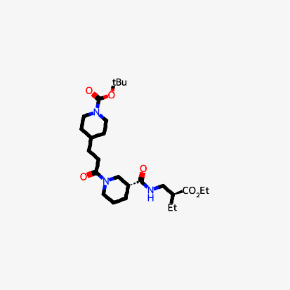 CCOC(=O)[C@@H](CC)CNC(=O)[C@@H]1CCCN(C(=O)CCC2CCN(C(=O)OC(C)(C)C)CC2)C1